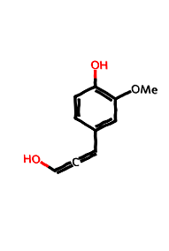 COc1cc(C=C=CO)ccc1O